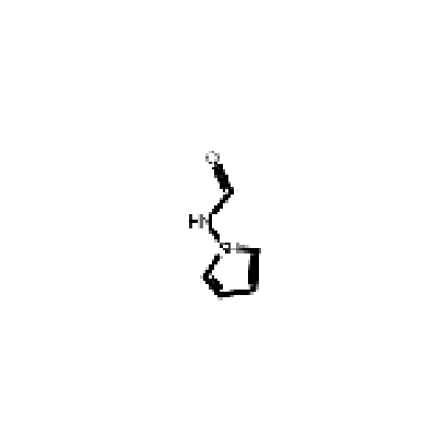 O=[C]N[SH]1C=CC=C1